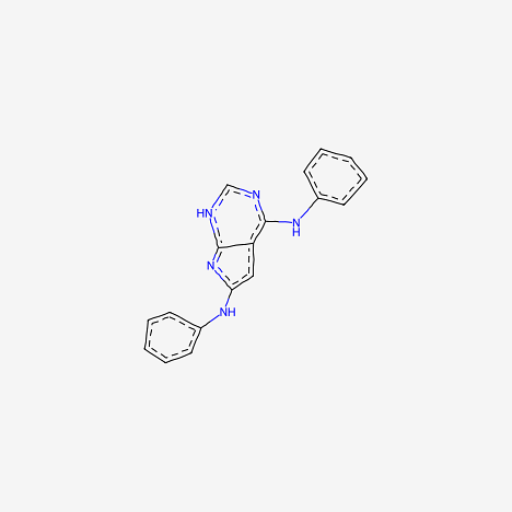 c1ccc(Nc2cc3c(Nc4ccccc4)nc[nH]c-3n2)cc1